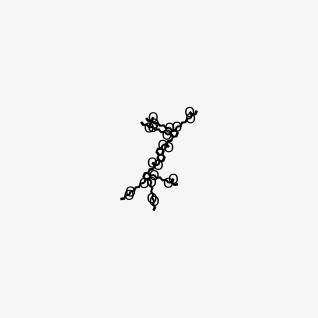 C=CCOOCCCCOc1ccc(/C=C/C(=O)Oc2ccc3cc(OC(=O)/C=C/c4ccc(OCCCCOC(=O)C=C)c(OCCCCOC(=O)C=C)c4OCCCCOOCC=C)ccc3c2)c(OCCCCOC(=O)C=C)c1OCCCCOOCC=C